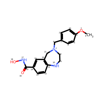 COc1ccc(CN2CCNc3ccc(C(=O)NO)cc3C2)cc1